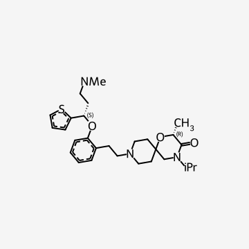 CNCC[C@H](Oc1ccccc1CCN1CCC2(CC1)CN(C(C)C)C(=O)[C@@H](C)O2)c1cccs1